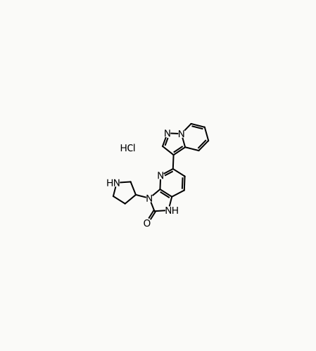 Cl.O=c1[nH]c2ccc(-c3cnn4ccccc34)nc2n1C1CCNC1